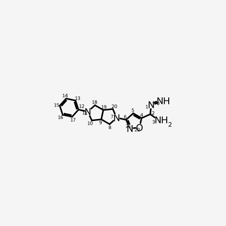 N=NC(N)c1cc(N2CC3CN(c4ccccc4)CC3C2)no1